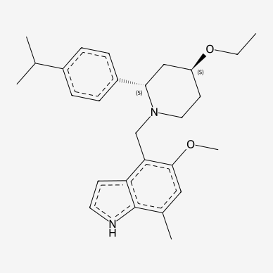 CCO[C@H]1CCN(Cc2c(OC)cc(C)c3[nH]ccc23)[C@H](c2ccc(C(C)C)cc2)C1